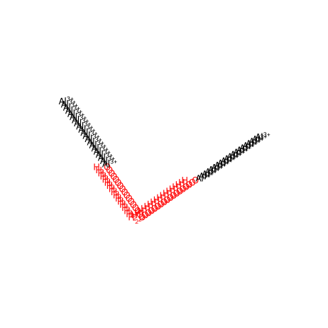 O.O.O.O.O.O.O.O.O.O.O.O.O.O.O.O.O.O.O.O.O.O.O.O.O.O.O.O.O.O.O.O.O.O.[Al+3].[Al+3].[Al+3].[Al+3].[Al+3].[Al+3].[Al+3].[Al+3].[Al+3].[Al+3].[Al+3].[Al+3].[Al+3].[Al+3].[Al+3].[Al+3].[Al+3].[Al+3].[Al+3].[Al+3].[Al+3].[Al+3].[Al+3].[Al+3].[Al+3].[Al+3].[Al+3].[Al+3].[Al+3].[Al+3].[Al+3].[Al+3].[Al+3].[Al+3].[Al+3].[Al+3].[Al+3].[Al+3].[Al+3].[Al+3].[Al+3]